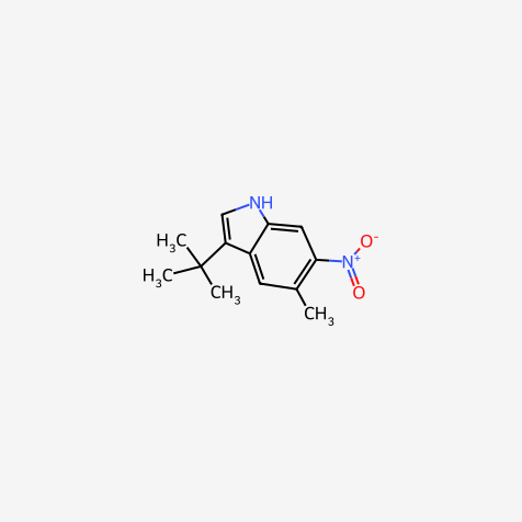 Cc1cc2c(C(C)(C)C)c[nH]c2cc1[N+](=O)[O-]